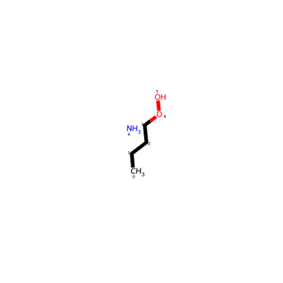 CCCCOO.N